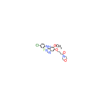 COc1cc2c(Nc3ccc(Cl)cc3F)ncnc2cc1OCCCC(=O)N1CCOCC1